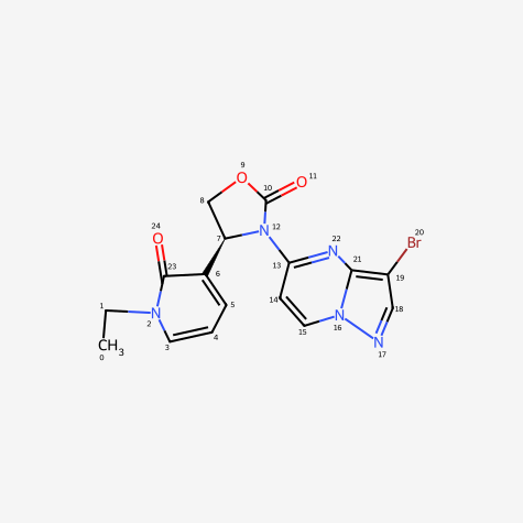 CCn1cccc([C@H]2COC(=O)N2c2ccn3ncc(Br)c3n2)c1=O